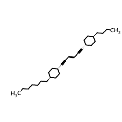 CCCCCCC[C@H]1CC[C@H](C#C/C=C/C#C[C@H]2CC[C@H](CCCC)CC2)CC1